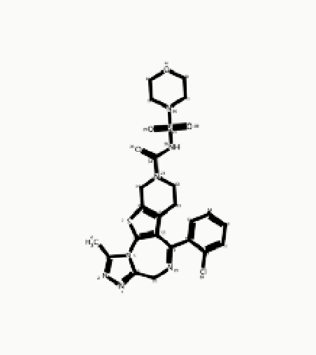 Cc1nnc2n1-c1sc3c(c1C(c1ccccc1Cl)=NC2)CCN(C(=O)NS(=O)(=O)N1CCOCC1)C3